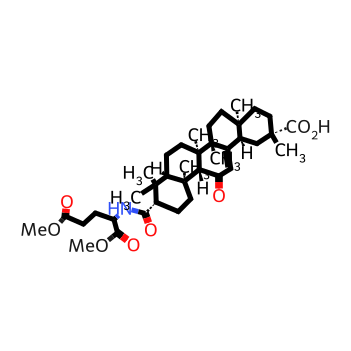 COC(=O)CCC(NC(=O)[C@H]1CC[C@]2(C)[C@H]3C(=O)C=C4[C@@H]5C[C@@](C)(C(=O)O)CC[C@]5(C)CC[C@@]4(C)[C@]3(C)CC[C@H]2C1(C)C)C(=O)OC